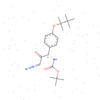 CC(C)(C)OC(=O)N[C@H](C(=O)C=[N+]=[N-])c1ccc(O[Si](C)(C)C(C)(C)C)cc1